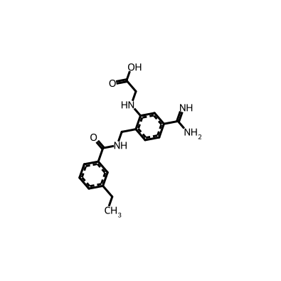 CCc1cccc(C(=O)NCc2ccc(C(=N)N)cc2NCC(=O)O)c1